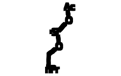 CCCCO[Si]OC(C)=O